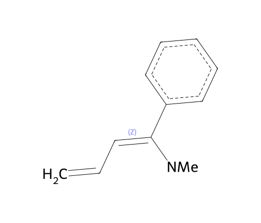 C=C/C=C(\NC)c1ccccc1